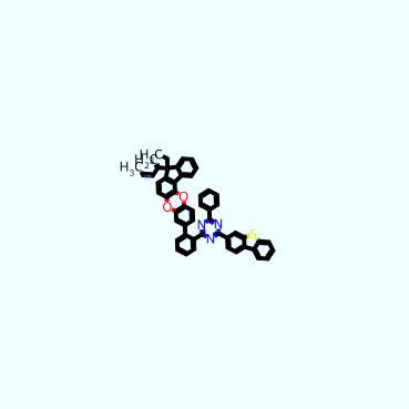 C=C(/C=C\C)C1(CC)c2ccccc2-c2c1ccc1c2Oc2ccc(-c3ccccc3-c3nc(-c4ccccc4)nc(-c4ccc5c(c4)sc4ccccc45)n3)cc2O1